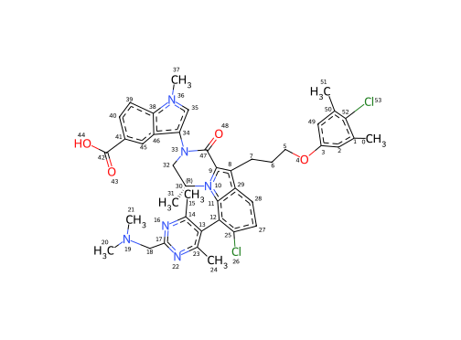 Cc1cc(OCCCc2c3n(c4c(-c5c(C)nc(CN(C)C)nc5C)c(Cl)ccc24)[C@H](C)CN(c2cn(C)c4ccc(C(=O)O)cc24)C3=O)cc(C)c1Cl